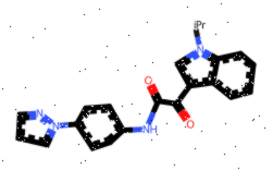 CC(C)n1cc(C(=O)C(=O)Nc2ccc(-n3cccn3)cc2)c2ccccc21